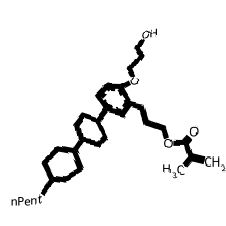 C=C(C)C(=O)OCCCc1cc(C2CCC(C3CCC(CCCCC)CC3)CC2)ccc1OCCCO